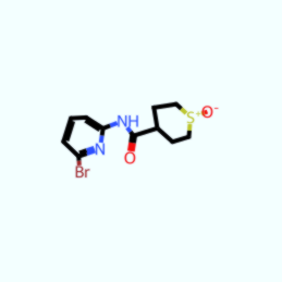 O=C(Nc1cccc(Br)n1)C1CC[S+]([O-])CC1